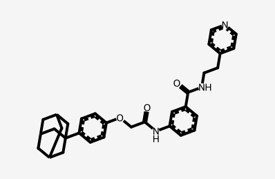 O=C(COc1ccc(C23CC4CC(CC(C4)C2)C3)cc1)Nc1cccc(C(=O)NCCc2ccncc2)c1